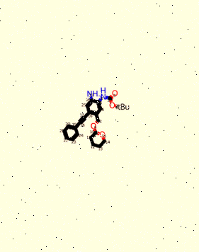 CC(C)(C)OC(=O)Nc1cc(COC2CCCCO2)c(C#Cc2ccccc2)cc1N